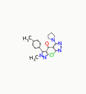 Cc1ccc(-c2c(C(=O)c3c(Cl)ncnc3N3CCCC3)cnn2C)cc1